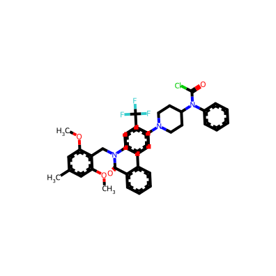 COc1cc(C)cc(OC)c1CN(C(=O)c1ccccc1-c1ccc(C(F)(F)F)cc1)c1ccc(N2CCC(N(C(=O)Cl)c3ccccc3)CC2)cc1